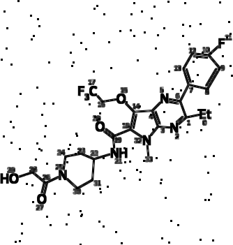 CCc1nc2c(nc1-c1ccc(F)cc1)c(OCC(F)(F)F)c(C(=O)NC1CCN(C(=O)CO)CC1)n2C